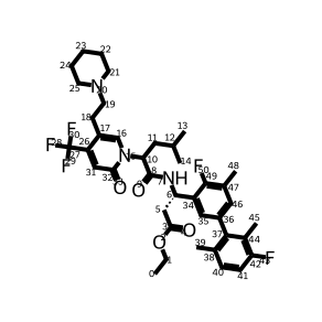 CCOC(=O)C[C@H](NC(=O)C(CC(C)C)n1cc(CCN2CCCCC2)c(C(F)(F)F)cc1=O)c1cc(-c2c(C)ccc(F)c2C)cc(C)c1F